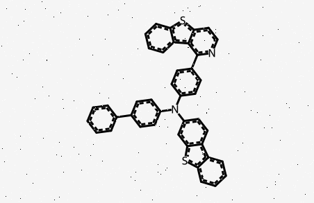 c1ccc(-c2ccc(N(c3ccc(-c4nccc5sc6ccccc6c45)cc3)c3ccc4c(c3)sc3ccccc34)cc2)cc1